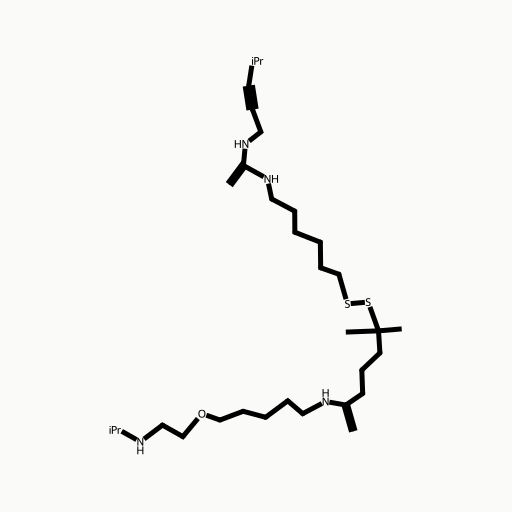 C=C(CCCC(C)(C)SSCCCCCCNC(=C)NCC#CC(C)C)NCCCCCOCCNC(C)C